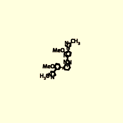 COc1ccc([C@H]2CCCn3nc(-c4ccc(-n5cnc(C)c5)c(OC)n4)nc32)cc1-c1cnn(C)c1